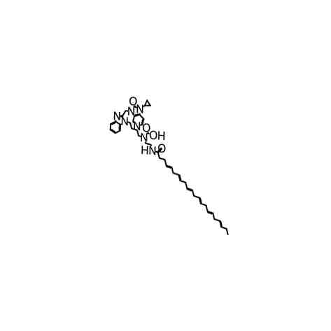 CCC=CCC=CCC=CCC=CCC=CCC=CCCC(=O)NCCN(CCCCn1c(Cn2c(=O)n(C3CC3)c3ccncc32)nc2ccccc21)C(=O)O